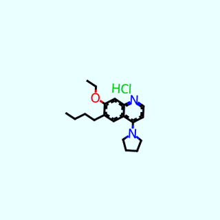 CCCCc1cc2c(N3CCCC3)ccnc2cc1OCC.Cl